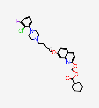 O=C(OCOc1ccc2ccc(OCCCCN3CCN(c4cccc(I)c4Cl)CC3)cc2n1)C1CCCCC1